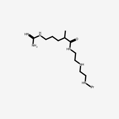 CC(C)NCCNCCNC(=O)C(C)CCCNC(=N)N